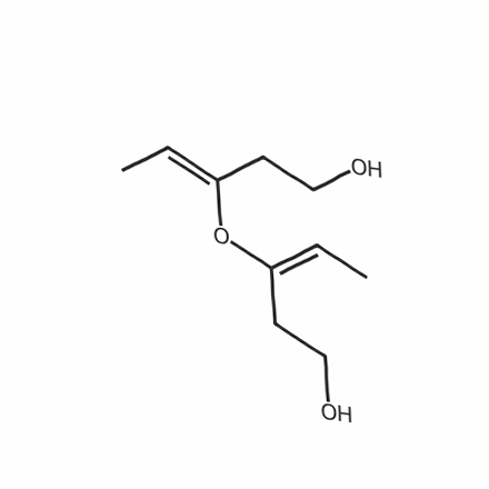 CC=C(CCO)OC(=CC)CCO